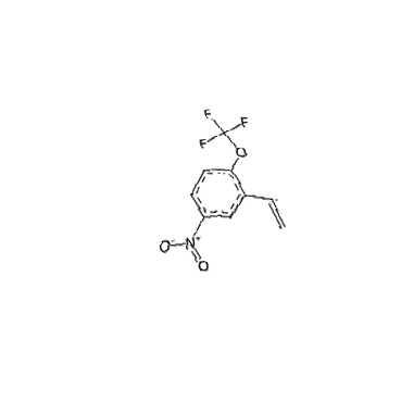 C=[C]c1cc([N+](=O)[O-])ccc1OC(F)(F)F